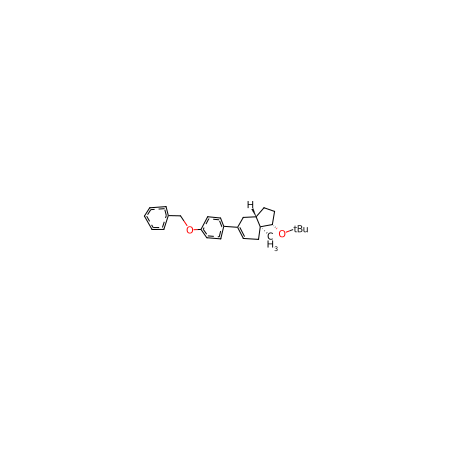 CC(C)(C)O[C@H]1CC[C@H]2CC(c3ccc(OCc4ccccc4)cc3)=CC[C@@]21C